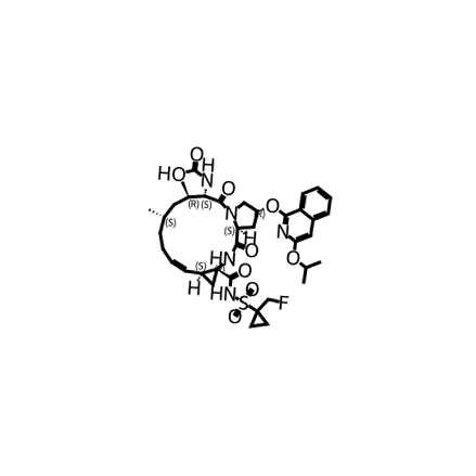 CC(C)Oc1cc2ccccc2c(O[C@@H]2C[C@H]3C(=O)N[C@]4(C(=O)NS(=O)(=O)C5(CF)CC5)C[C@H]4C=CCC[C@H](C)C[C@@H](C)[C@H](NC(=O)O)C(=O)N3C2)n1